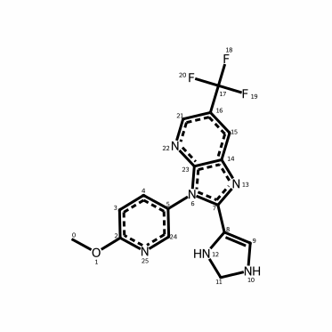 COc1ccc(-n2c(C3=CNCN3)nc3cc(C(F)(F)F)cnc32)cn1